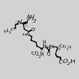 C=C/C=N\C(=C/N)CC(=O)NCCCC[C@H](NC(=O)N[C@@H](CCC(=O)O)C(=O)O)C(=O)O